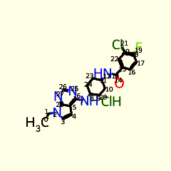 CCn1ccc2c(NC3CCC(NC(=O)c4ccc(F)c(Cl)c4)CC3)ncnc21.Cl